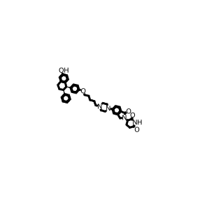 O=C1CCC(N2Cc3cc(N4CCN(CCCCCOc5ccc([C@@H]6c7ccc(O)cc7CC[C@@H]6c6ccccc6)cc5)CC4)ccc3C2=O)C(=O)N1